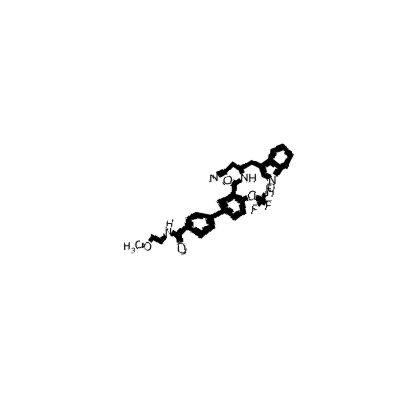 COCCNC(=O)c1ccc(-c2ccc(OC(F)(F)F)c(C(=O)NC(CC#N)Cc3c[nH]c4ccccc34)c2)cc1